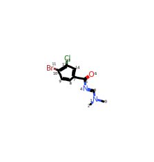 CN(C)C=NC(=O)c1ccc(Br)c(Cl)c1